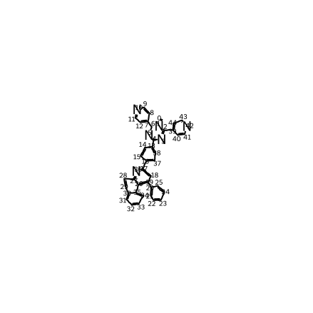 C=N/C(=N\C(=N/Cc1ccncc1)c1ccc(-c2cc(-c3ccccc3)c3c(ccc4ccccc43)n2)cc1)c1ccncc1